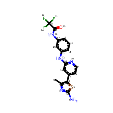 Cc1nc(N)sc1-c1ccnc(Nc2cccc(NC(=O)C(F)(F)F)c2)c1